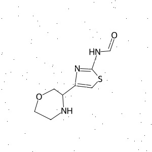 O=CNc1nc(C2COCCN2)cs1